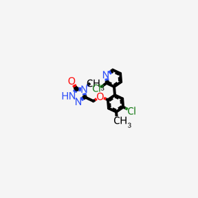 Cc1cc(OCc2n[nH]c(=O)n2C)c(-c2cccnc2Cl)cc1Cl